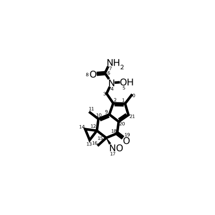 CC1=C(CN(O)C(N)=O)C2=C(C)C3(CC3)[C@](C)(N=O)C(=O)C2=C1